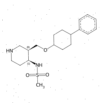 CS(=O)(=O)N[C@H]1CCNC[C@H]1COC1CCC(c2ccccc2)CC1